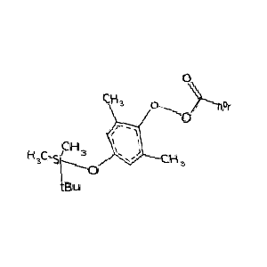 CCCC(=O)OOc1c(C)cc(O[Si](C)(C)C(C)(C)C)cc1C